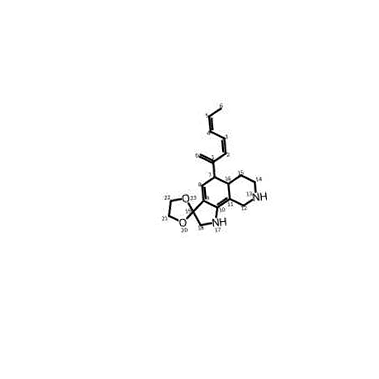 C=C(/C=C\C=C/C)C1C=C2C(=C3CNCCC31)NCC21OCCO1